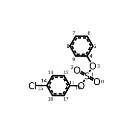 O=S(=O)(Oc1ccccc1)Oc1ccc(Cl)cc1